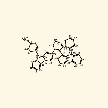 N#CC1=CC=C(N2c3ccccc3C3C=CC(C4=C(C5=c6c(c7ccccc7n6-c6ccccc6)=CCC5)C=CCC4)=CC32)CC1